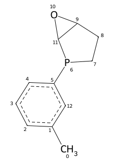 Cc1cccc(P2CCC3OC32)c1